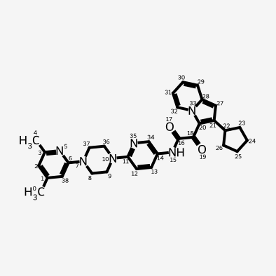 Cc1cc(C)nc(N2CCN(c3ccc(NC(=O)C(=O)c4c(C5CCCC5)cc5ccccn45)cn3)CC2)c1